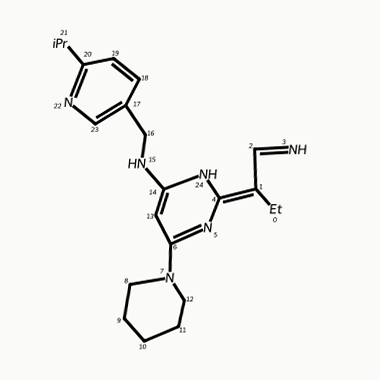 CC/C(C=N)=C1\N=C(N2CCCCC2)C=C(NCc2ccc(C(C)C)nc2)N1